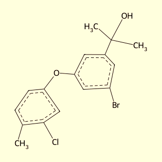 Cc1ccc(Oc2cc(Br)cc(C(C)(C)O)c2)cc1Cl